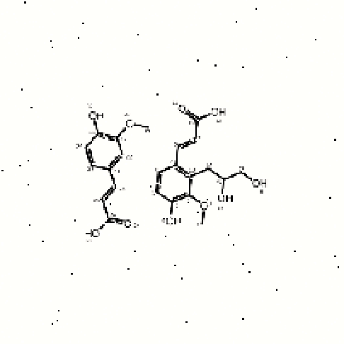 COc1c(O)ccc(C=CC(=O)O)c1CC(O)CO.COc1cc(C=CC(=O)O)ccc1O